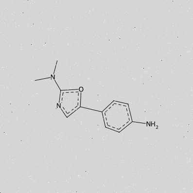 CN(C)c1ncc(-c2ccc(N)cc2)o1